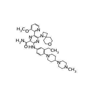 CCc1cc(Nc2nc(N3CCC34CCOCC4)c(-c3ncccc3OC)nc2C(N)=O)ccc1N1CCC(N2CCN(C)CC2)CC1